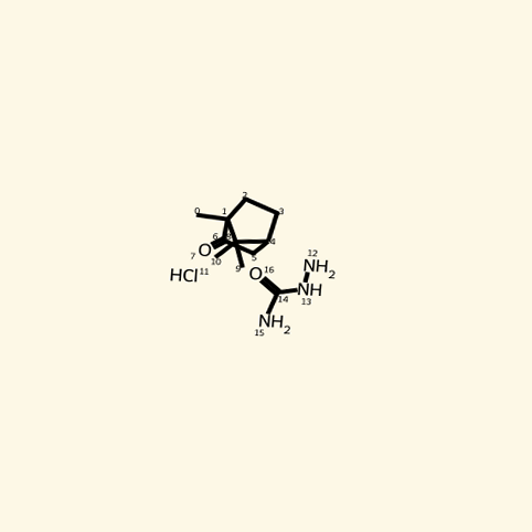 CC12CCC(CC1=O)C2(C)C.Cl.NNC(N)=O